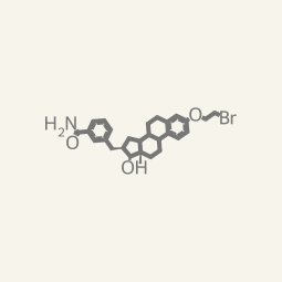 C[C@]12CCC3c4ccc(OCCBr)cc4CCC3C1C[C@H](Cc1cccc(C(N)=O)c1)[C@@H]2O